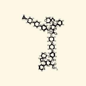 NC(=O)c1nc(-c2ccccn2)c(N2CCC23CCOCC3)nc1Nc1ccc(N2CCC(N3CCN(NC(=O)c4nc(-c5ccccn5)c(N5CCC56CCOCC6)nc4Nc4ccc(N5CCC(N6CCN(C7CC7)CC6)CC5)cc4)CC3)CC2)cc1